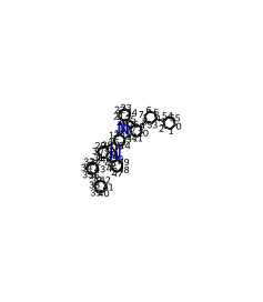 c1ccc(-c2cccc(-c3ccc4c5cc6c(cc5n5c7ccccc7c3c45)c3ccc(-c4cccc(-c5ccccc5)c4)c4c5ccccc5n6c34)c2)cc1